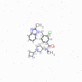 Cc1nc2ccccc2n1Cc1ccc(C(=O)N(C)C2CCN(C3CCC3)C2)cc1Cl